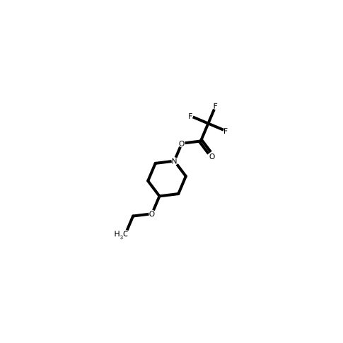 CCOC1CCN(OC(=O)C(F)(F)F)CC1